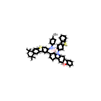 CC(C)(C)c1ccc(Nc2cc3sc4cc5c(cc4c3cc2-c2ccc3c4cc6oc7ccccc7c6cc4n4c3c2Bc2cc3c(cc2-4)sc2ccccc23)C(C)(C)CCC5(C)C)cc1